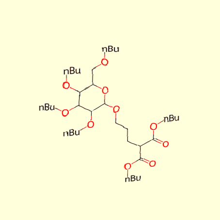 CCCCOCC1OC(OCCCC(C(=O)OCCCC)C(=O)OCCCC)C(OCCCC)C(OCCCC)C1OCCCC